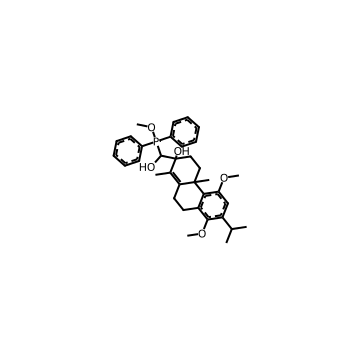 COc1cc(C(C)C)c(OC)c2c1C1(C)CCC(O)(C(O)[P](OC)(c3ccccc3)c3ccccc3)C(C)=C1CC2